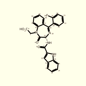 O=C(O)CN1C(=O)[C@@H](NC(=O)c2cc3ccccc3[nH]2)N=C(c2ccccc2F)c2ccccc21